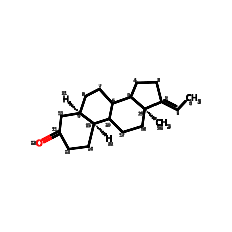 CC=C1CCC2C3CC[C@@H]4CC(=O)CC[C@@H]4C3CC[C@]12C